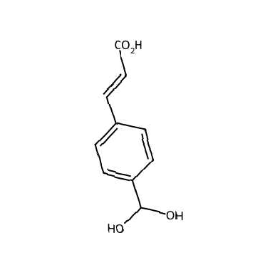 O=C(O)C=Cc1ccc(C(O)O)cc1